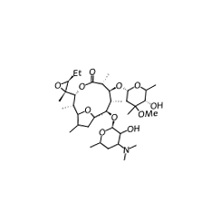 CC[C@@H]1O[C@@]1(C)[C@@H]1OC(=O)[C@H](C)[C@@H](O[C@H]2CC(C)(OC)[C@@H](O)C(C)O2)[C@H](C)[C@@H](O[C@@H]2OC(C)CC(N(C)C)C2O)[C@@]2(C)CC(C)C(O2)[C@@H]1C